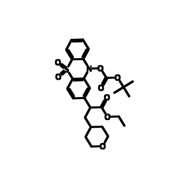 CCOC(=O)C(CC1CCOCC1)c1ccc2c(c1)N(OC(=O)OC(C)(C)C)c1ccccc1S2(=O)=O